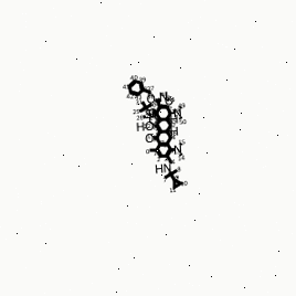 Cc1cc(CNC(C)(C)C2CC2)c(N(C)C)c2c1C(=O)C1=C(O)[C@]3(O[Si](C)(C)C(C)(C)C)C(=O)c4c(OCc5ccccc5)noc4[C@@H](N(C)C)[C@@H]3C[C@@H]1C2